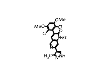 CCn1c(=O)c(-c2c(Cl)c(OC)cc(OC)c2Cl)cc2cnc(-c3c[nH]nc3C)cc21